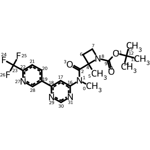 CN(C(=O)C1(C)CCN1C(=O)OC(C)(C)C)c1cc(-c2ccc(C(F)(F)F)nc2)ncn1